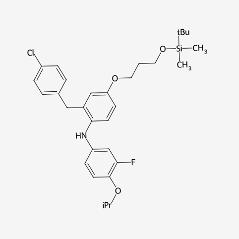 CC(C)Oc1ccc(Nc2ccc(OCCCO[Si](C)(C)C(C)(C)C)cc2Cc2ccc(Cl)cc2)cc1F